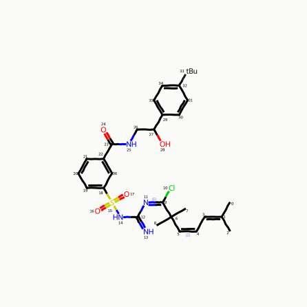 CC(C)=C/C=C\C(C)(C)/C(Cl)=N\C(=N)NS(=O)(=O)c1cccc(C(=O)NCC(O)c2ccc(C(C)(C)C)cc2)c1